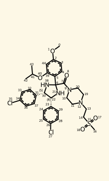 COc1ccc(C2(C(=O)N3CCN(CCS(C)(=O)=O)CC3)N[C@H](c3ccc(Cl)cc3)[C@H](c3ccc(Cl)cc3)N2)c(OC(C)C)c1